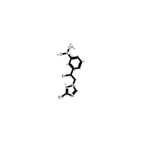 CCc1ncn(CC(CC)c2cccc([S+](C)[O-])c2)n1